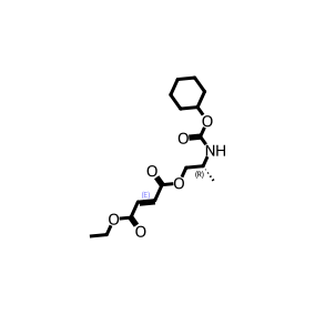 CCOC(=O)/C=C/C(=O)OC[C@@H](C)NC(=O)OC1CCCCC1